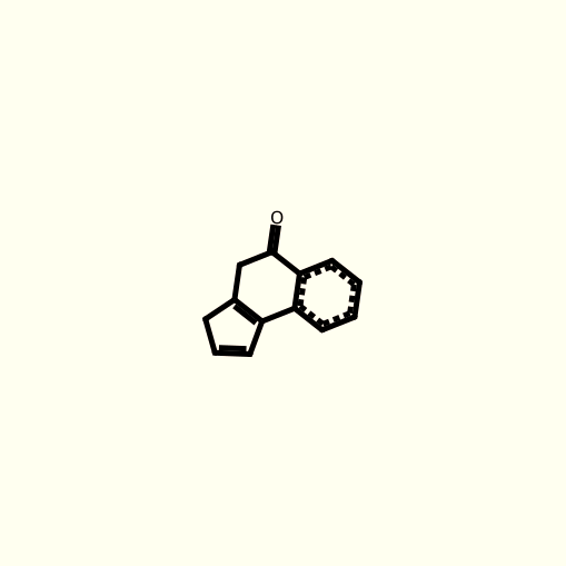 O=C1CC2=C(C=CC2)c2ccccc21